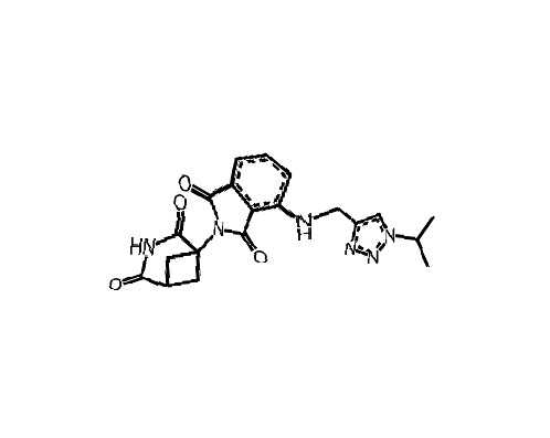 CC(C)n1cc(CNc2cccc3c2C(=O)N(C24CC(C2)C(=O)NC4=O)C3=O)nn1